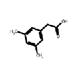 Cc1cc(C)cc(CC(=O)O)c1